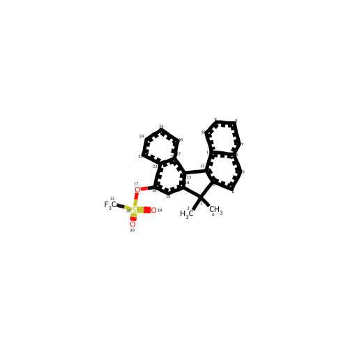 CC1(C)c2ccc3ccccc3c2-c2c1cc(OS(=O)(=O)C(F)(F)F)c1ccccc21